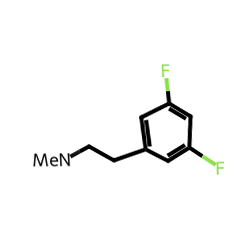 [CH2-][NH2+]CCc1cc(F)cc(F)c1